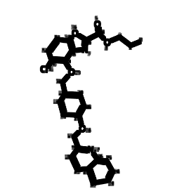 CCCOC(=O)c1nc2c(OCc3ccc(OCc4ccc5ccccc5n4)cc3)c(Cl)ccc2o1